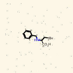 CC(C)(C)C[C@H](NCc1ccccc1)C(=O)O